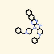 c1ccc(CN2CCC(Nc3nc4cc5ccccc5cc4nc3NC3CCN(Cc4ccccc4)CC3)CC2)cc1